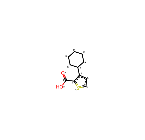 O=C(O)c1sccc1C1CCCCC1